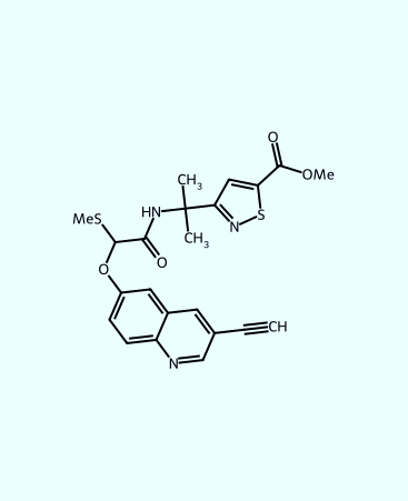 C#Cc1cnc2ccc(OC(SC)C(=O)NC(C)(C)c3cc(C(=O)OC)sn3)cc2c1